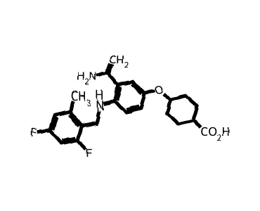 C=C(N)c1cc(OC2CCC(C(=O)O)CC2)ccc1NCc1c(C)cc(F)cc1F